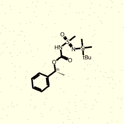 C[C@@H](OC(=O)NS(C)(=O)=N[Si](C)(C)C(C)(C)C)c1ccccc1